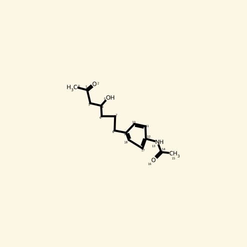 CC(=O)CC(O)CCCc1ccc(NC(C)=O)cc1